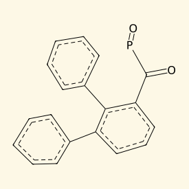 O=PC(=O)c1cccc(-c2ccccc2)c1-c1ccccc1